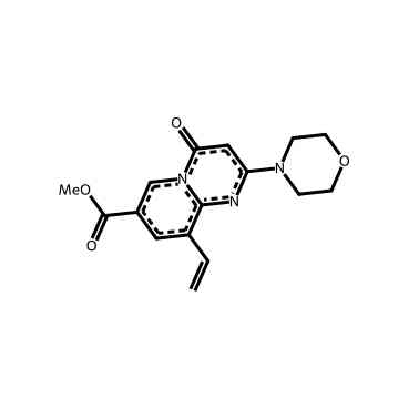 C=Cc1cc(C(=O)OC)cn2c(=O)cc(N3CCOCC3)nc12